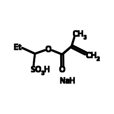 C=C(C)C(=O)OC(CC)S(=O)(=O)O.[NaH]